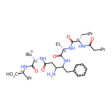 CC[C@H](NC(=O)[C@H](CC(C)C)NC(=O)CC(C)C)C(=O)NC(Cc1ccccc1)C(N)CC(=O)N[C@H](C(=O)N[C@H](C(=O)O)C(C)C)[C@@H](C)CC